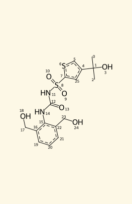 CC(C)(O)c1csc(S(=O)(=O)NC(=O)Nc2c(CO)cccc2CO)c1